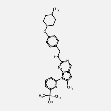 Cc1cc2cnc(NCc3ccc(OC4CCN(C)CC4)cc3)nc2n1-c1cccc(C(C)(C)O)n1